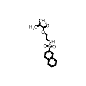 C=C(C)C(=O)OCCNS(=O)(=O)c1ccc2ccccc2c1